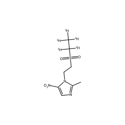 [2H]C([2H])([2H])C([2H])([2H])S(=O)(=O)CCn1c([N+](=O)[O-])cnc1C